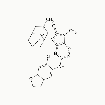 Cn1c(=O)n(C23CC4CC(CC(C)(C4)C2)C3)c2nc(NC3=CC4CCOC4C=C3Cl)ncc21